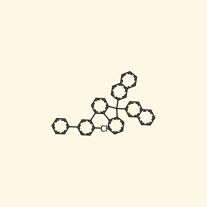 Clc1ccc(-c2ccccc2)cc1-c1cccc2c1-c1ccccc1C2(c1ccc2ccccc2c1)c1ccc2ccccc2c1